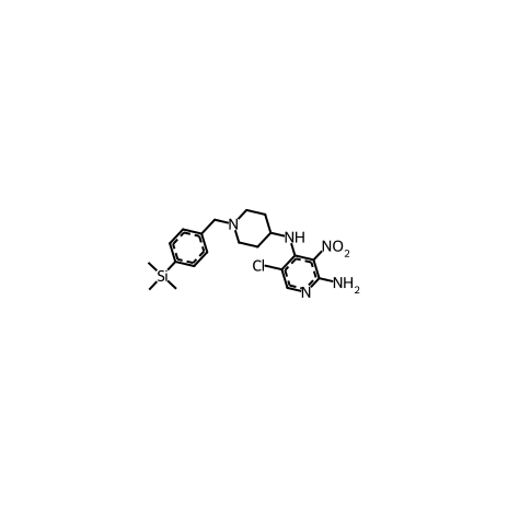 C[Si](C)(C)c1ccc(CN2CCC(Nc3c(Cl)cnc(N)c3[N+](=O)[O-])CC2)cc1